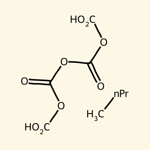 CCCC.O=C(O)OC(=O)OC(=O)OC(=O)O